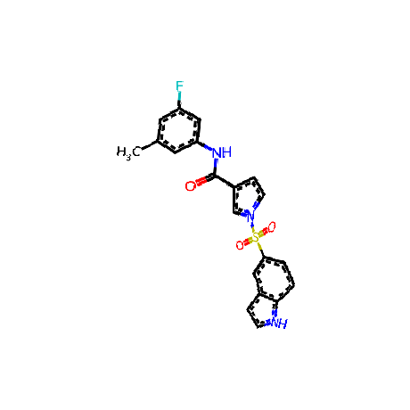 Cc1cc(F)cc(NC(=O)c2ccn(S(=O)(=O)c3ccc4[nH]ccc4c3)c2)c1